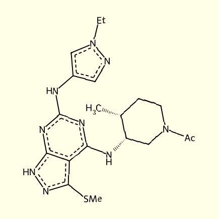 CCn1cc(Nc2nc(N[C@H]3CN(C(C)=O)CC[C@H]3C)c3c(SC)n[nH]c3n2)cn1